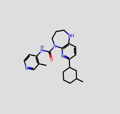 Cc1cnccc1NC(=O)N1CCCNc2ccc(C3CCCC(C)C3)nc21